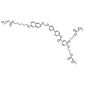 C=CC(=O)OCCCCCCOc1ccc2cc(OCOc3ccc(-c4ccc(OC(=O)c5ccc(OCCCOC(=O)C=C)c(OCCCOC(=O)C=C)c5)cc4)cc3)ccc2c1